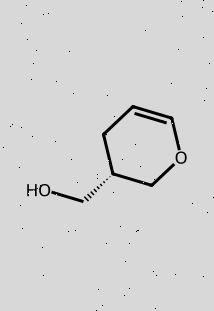 OC[C@@H]1CC=COC1